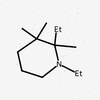 CCN1CCCC(C)(C)C1(C)CC